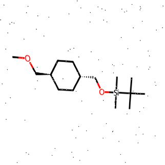 COC[C@H]1CC[C@H](CO[Si](C)(C)C(C)(C)C)CC1